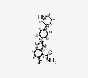 NC(=O)c1c(F)ccc2cn(-c3ccc([C@@H]4CCCNC4)cc3)nc12